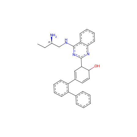 CC[C@@H](N)CNc1nc(C2C=C(c3ccccc3-c3ccccc3)C=CC2O)nc2ccccc12